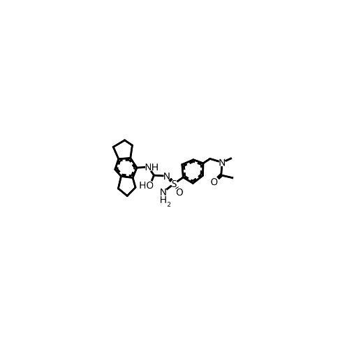 CC(=O)N(C)Cc1ccc(S(N)(=O)=NC(O)Nc2c3c(cc4c2CCC4)CCC3)cc1